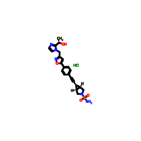 C[C@H](O)c1nccn1Cc1cc(-c2ccc(C#C[C@H]3[C@H]4CN(S(N)(=O)=O)C[C@@H]34)cc2)on1.Cl